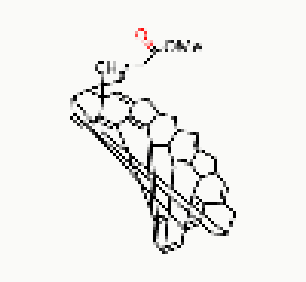 COC(=O)CCCC1(C)C2C3CC4CC5=CC6CC7=CC8CC9CC%10=CC21c1c2c%11c%12c(c5c5c%12c%12c%13c(c9c%10c1c%13%11)C8C%12=C7C56)C4C=23